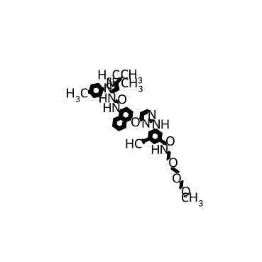 C#Cc1cc(Nc2nccc(Oc3ccc(NC(=O)Nc4cc(C(C)(C)C)nn4-c4ccc(C)cc4)c4ccccc34)n2)cc(C(=O)NCCOCCOCCOC)c1